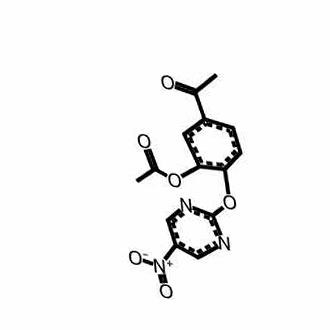 CC(=O)Oc1cc(C(C)=O)ccc1Oc1ncc([N+](=O)[O-])cn1